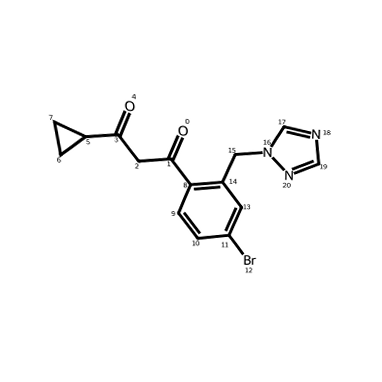 O=C(CC(=O)C1CC1)c1ccc(Br)cc1Cn1cncn1